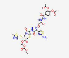 CCOC(=O)OC(C)OC(=O)C1(CSc2nnc(C)s2)CS[C@@H]2C(NC(=O)C(=NOCC(=O)NNC(=O)c3ccc(OC(C)=O)c(OC(C)=O)c3)c3csc(N)n3)C(=O)N2C1